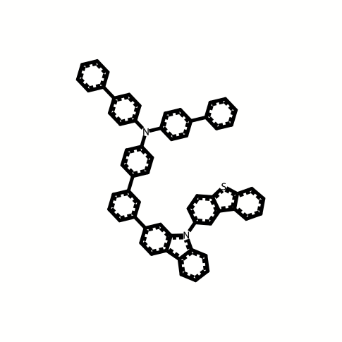 c1ccc(-c2ccc(N(c3ccc(-c4ccccc4)cc3)c3ccc(-c4cccc(-c5ccc6c7ccccc7n(-c7ccc8sc9ccccc9c8c7)c6c5)c4)cc3)cc2)cc1